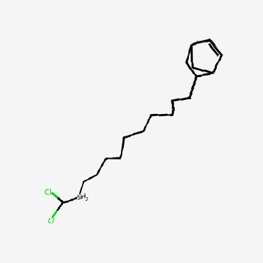 ClC(Cl)[SiH2]CCCCCCCCCCC1CC2C=CC1C2